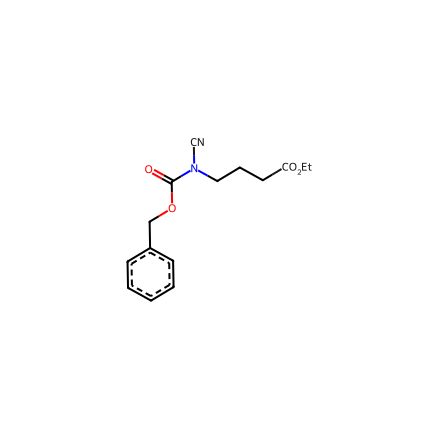 CCOC(=O)CCCN(C#N)C(=O)OCc1ccccc1